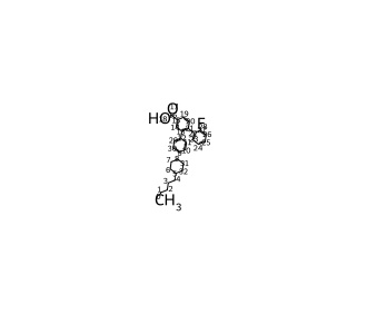 CCCCC[C@H]1CC[C@H](c2ccc(-c3cc(C(=O)O)ccc3-c3ccccc3F)cc2)CC1